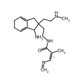 C=N/C=C(/C)C(=O)NCCC1(CCNC)CC2=CCCC=C2C1N